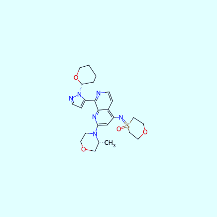 C[C@@H]1COCCN1c1cc(N=S2(=O)CCOCC2)c2ccnc(-c3ccnn3[C@H]3CCCCO3)c2n1